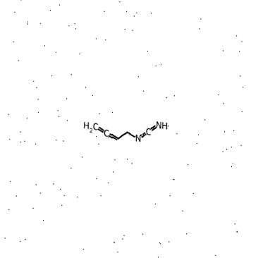 C=C=CCN=C=N